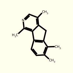 Cc1ccc2c(c1C)Cc1c(C)cnc(C)c1-2